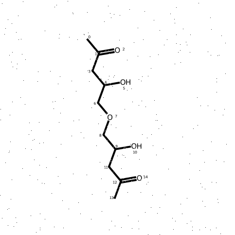 CC(=O)CC(O)COCC(O)CC(C)=O